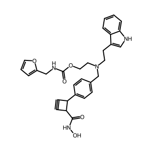 O=C(NCc1ccco1)OCCN(CCc1c[nH]c2ccccc12)Cc1ccc(C2C#CC2C(=O)NO)cc1